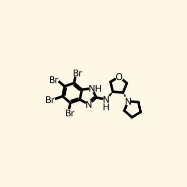 Brc1c(Br)c(Br)c2[nH]c(N[C@H]3COC[C@@H]3N3CCCC3)nc2c1Br